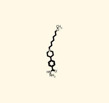 COCCCCCCCN1CCC(c2ccc(C(=O)NN)cc2)CC1